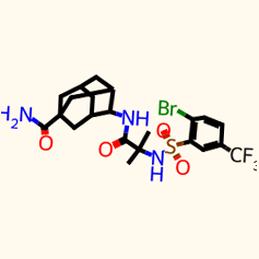 CC(C)(NS(=O)(=O)c1cc(C(F)(F)F)ccc1Br)C(=O)NC1C2CC3CC1CC(C(N)=O)(C3)C2